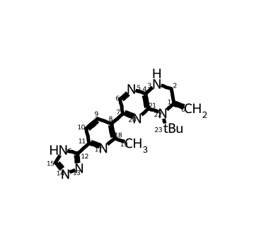 C=C1CNc2ncc(-c3ccc(-c4nnc[nH]4)nc3C)nc2N1C(C)(C)C